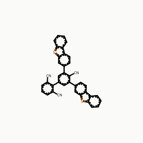 N#Cc1cccc(C#N)c1-c1cc(-c2ccc3c(c2)sc2ccccc23)c(C#N)c(-c2ccc3c(c2)sc2ccccc23)c1